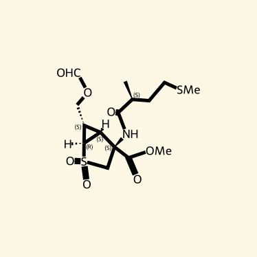 COC(=O)[C@]1(NC(=O)[C@@H](C)CCSC)CS(=O)(=O)[C@H]2[C@H](COC=O)[C@H]21